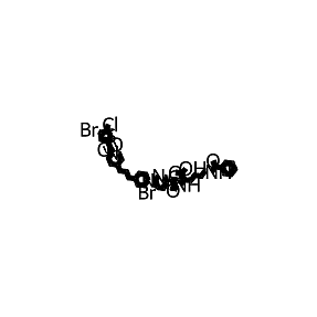 O=C(NCCCCC(NS(=O)(=O)c1cnc(N2CCC(CCCC3CCN(S(=O)(=O)c4cc(Br)c(Cl)s4)CC3)CC2)c(Br)c1)C(=O)O)c1ccccc1